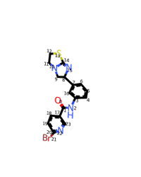 O=C(Nc1cccc(C2CN3CCSC3=N2)c1)c1ccc(Br)nc1